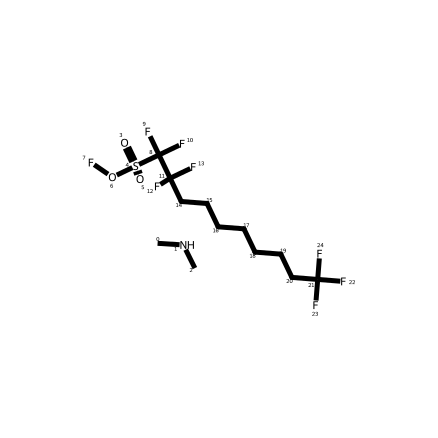 CNC.O=S(=O)(OF)C(F)(F)C(F)(F)CCCCCCCC(F)(F)F